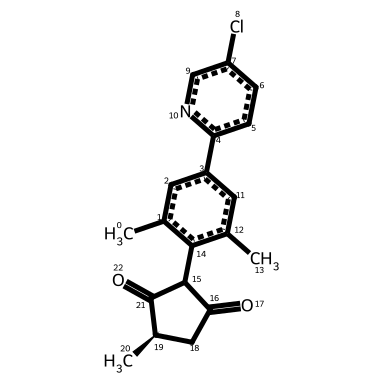 Cc1cc(-c2ccc(Cl)cn2)cc(C)c1C1C(=O)C[C@@H](C)C1=O